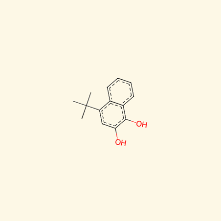 CC(C)(C)c1cc(O)c(O)c2ccccc12